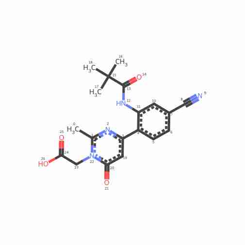 Cc1nc(-c2ccc(C#N)cc2NC(=O)C(C)(C)C)cc(=O)n1CC(=O)O